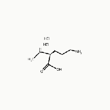 CN[C@@H](CCCN)C(=O)O.Cl.Cl